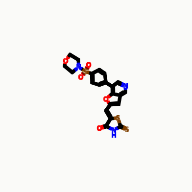 O=C1NC(=S)S/C1=C\c1cc2cncc(-c3ccc(S(=O)(=O)N4CCOCC4)cc3)c2o1